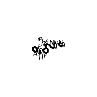 CC(C)c1nc(C2=CC(NS(=O)(=O)c3c(F)cccc3F)C(F)C=C2)c(-c2ccnc(Nc3ccncn3)n2)s1